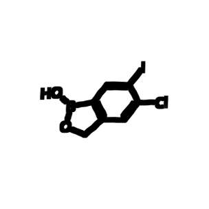 OB1OCc2cc(Cl)c(I)cc21